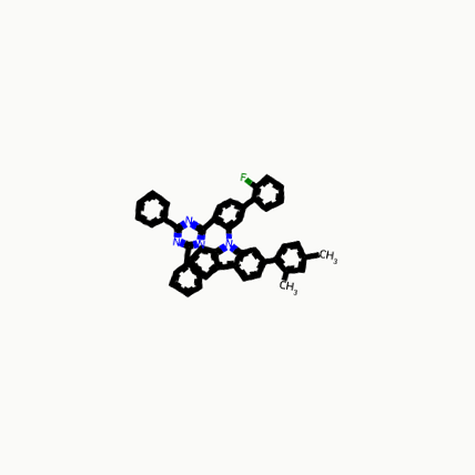 Cc1ccc(-c2ccc3c4ccccc4n(-c4cc(-c5ccccc5F)ccc4-c4nc(-c5ccccc5)nc(-c5ccccc5)n4)c3c2)c(C)c1